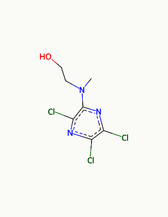 CN(CCO)c1nc(Cl)c(Cl)nc1Cl